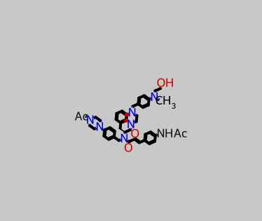 CC(=O)Nc1ccc(/C=C/C(=O)N(Cc2ccc(N3CCN(C(C)=O)CC3)cc2)[C@@H](Cc2ccccc2)C(=O)N2CCN(Cc3ccc(N(C)CCO)cc3)CC2)cc1